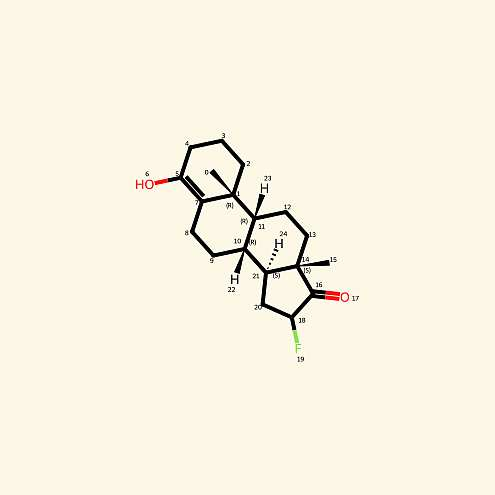 C[C@]12CCCC(O)=C1CC[C@@H]1[C@H]2CC[C@]2(C)C(=O)C(F)C[C@@H]12